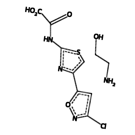 NCCO.O=C(O)C(=O)Nc1nc(-c2cc(Cl)no2)cs1